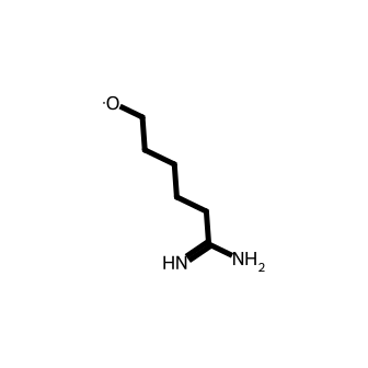 N=C(N)CCCCC[O]